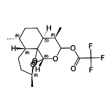 C[C@@H]1CC[C@H]2[C@@H](C)C(OC(=O)C(F)(F)F)O[C@@H]3O[C@@]4(C)CC[C@H]1C32OO4